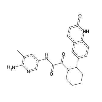 Cc1cc(NC(=O)C(=O)N2CCCC[C@H]2c2ccc3[nH]c(=O)ccc3c2)cnc1N